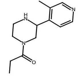 CCC(=O)N1CCNC(c2ccncc2C)C1